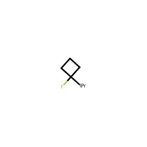 CC(C)C1(F)CCC1